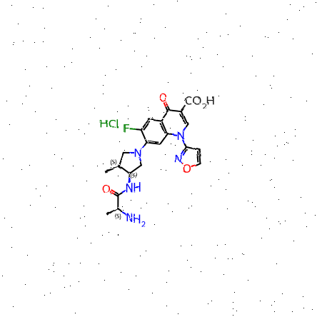 C[C@H](N)C(=O)N[C@@H]1CN(c2cc3c(cc2F)c(=O)c(C(=O)O)cn3-c2ccon2)C[C@@H]1C.Cl